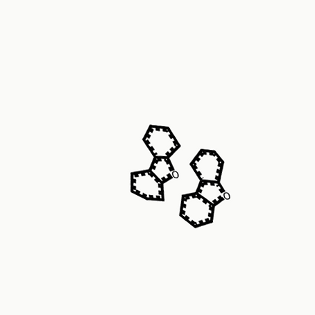 c1ccc2c(c1)oc1ccccc12.c1ccc2c(c1)oc1ccccc12